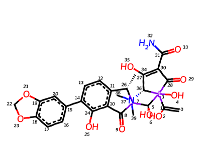 C=C(O)I1(O)([C@@H](O)I2C(=O)c3c(ccc(-c4ccc5c(c4)OCO5)c3O)[C@@H]2C)C(=O)C(C(N)=O)=C(O)[C@H]1N(C)C